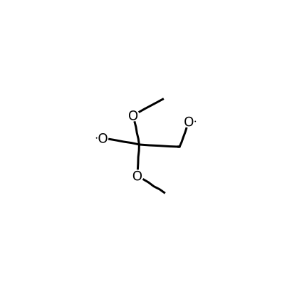 COC([O])(C[O])OC